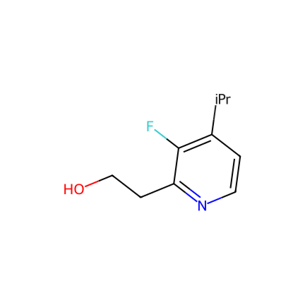 CC(C)c1ccnc(CCO)c1F